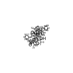 CC(C)C[C@H](C(=O)NC(C(=O)OCc1ccccc1)C(C)C)N(C(=O)C(O)C1CCCN1)C(=O)C(NC(=O)C(NC(=O)OCc1ccccc1)C(C)C)C(C)C